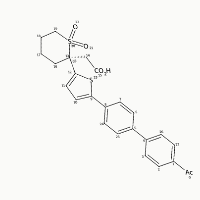 CC(=O)c1ccc(-c2ccc(-c3ccc([C@@]4(CC(=O)O)CCCCS4(=O)=O)s3)cc2)cc1